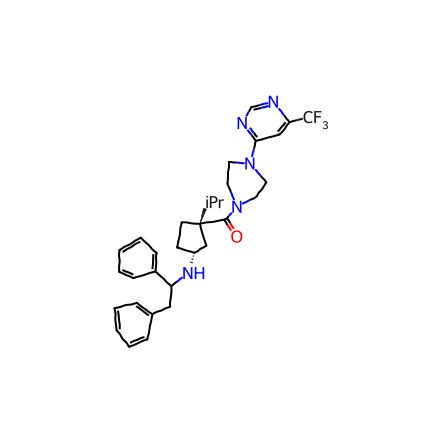 CC(C)[C@]1(C(=O)N2CCN(c3cc(C(F)(F)F)ncn3)CC2)CC[C@@H](NC(Cc2ccccc2)c2ccccc2)C1